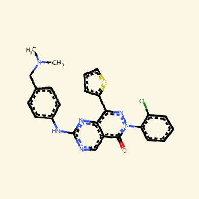 CN(C)Cc1ccc(Nc2ncc3c(=O)n(-c4ccccc4Cl)nc(-c4cccs4)c3n2)cc1